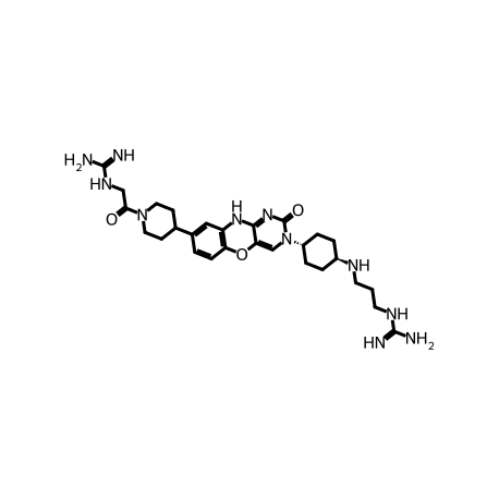 N=C(N)NCCCN[C@H]1CC[C@H](n2cc3c(nc2=O)Nc2cc(C4CCN(C(=O)CNC(=N)N)CC4)ccc2O3)CC1